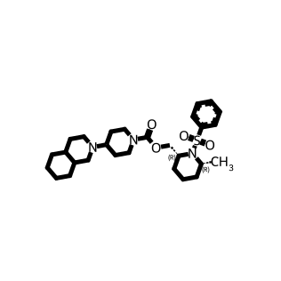 C[C@@H]1CCC[C@H](COC(=O)N2CCC(N3CCC4CCCCC4C3)CC2)N1S(=O)(=O)c1ccccc1